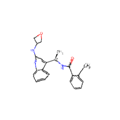 Cc1ccccc1C(=O)N[C@H](C)c1cc(NC2COC2)nc2ccccc12